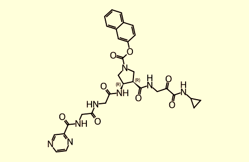 O=C(CNC(=O)c1cnccn1)NCC(=O)N[C@H]1CN(C(=O)Oc2ccc3ccccc3c2)C[C@H]1C(=O)NCC(=O)C(=O)NC1CC1